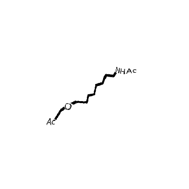 CC(=O)COCCCCCCCCNC(C)=O